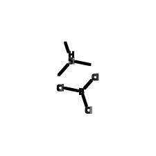 C[SiH](C)C.ClB(Cl)Cl